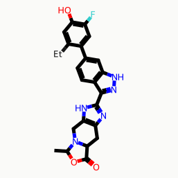 CCc1cc(O)c(F)cc1-c1ccc2c(-c3nc4c([nH]3)CN3C(C)OC(=O)C3C4)n[nH]c2c1